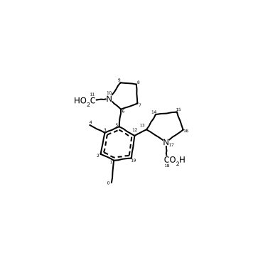 Cc1cc(C)c(C2CCCN2C(=O)O)c(C2CCCN2C(=O)O)c1